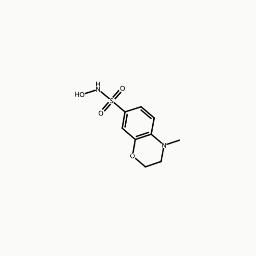 CN1CCOc2cc(S(=O)(=O)NO)ccc21